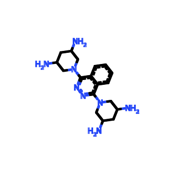 NC1CC(N)CN(c2nnc(N3CC(N)CC(N)C3)c3ccccc23)C1